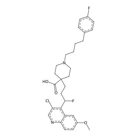 COc1ccc2ncc(Cl)c(C(F)CCC3(C(=O)O)CCN(CCCCc4ccc(F)cc4)CC3)c2c1